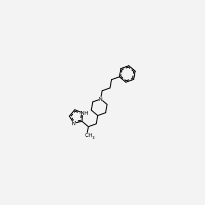 CC(CC1CCN(CCCc2ccccc2)CC1)c1ncc[nH]1